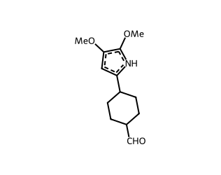 COc1cc(C2CCC(C=O)CC2)[nH]c1OC